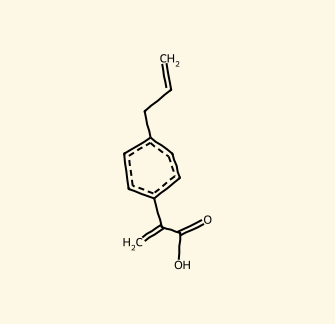 C=CCc1ccc(C(=C)C(=O)O)cc1